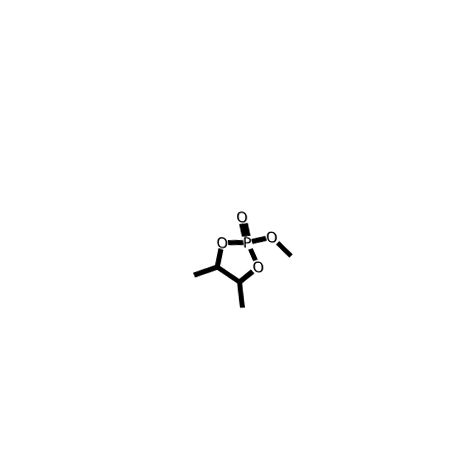 COP1(=O)OC(C)C(C)O1